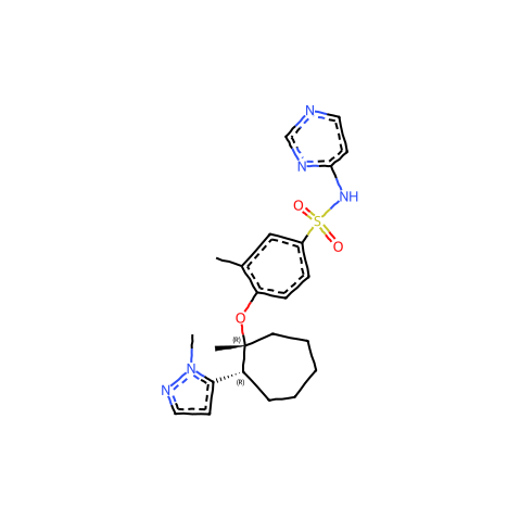 Cc1cc(S(=O)(=O)Nc2ccncn2)ccc1O[C@]1(C)CCCCC[C@@H]1c1ccnn1C